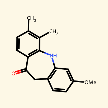 COc1ccc2c(c1)Nc1c(ccc(C)c1C)C(=O)C2